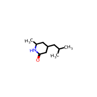 CC(C)CC1CC(=O)NC(C)C1